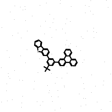 CC(C)(C)c1cc(-c2ccc3c(c2)sc2ccccc23)cc(-c2ccc3c4ccccc4c4ccccc4c3c2)c1